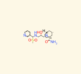 CS(=O)(=O)C(NCC(O)CN1[C@@H]2C[CH]C[C@@]1(C(N)=O)CC2)c1cccnc1